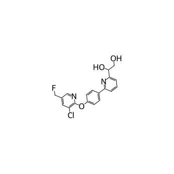 OCC(O)c1cccc(-c2ccc(Oc3ncc(CF)cc3Cl)cc2)n1